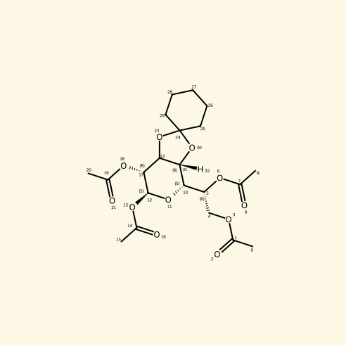 CC(=O)OC[C@@H](OC(C)=O)[C@@H]1O[C@@H](OC(C)=O)[C@H](OC(C)=O)C2OC3(CCCCC3)O[C@@H]21